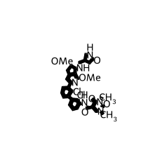 COc1nc(-c2cccc(-c3cccc(NC(=O)c4cn(C)c(=O)n(C)c4=O)c3Cl)c2Cl)cc2c1C(NCC1CNC(=O)C1)C(OC)C2